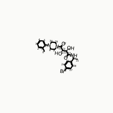 Cc1ccccc1N1CCN(C(=O)[C@H](O)[C@@H](O)C(=O)N[C@@H](C)c2ccc(Br)cc2)CC1